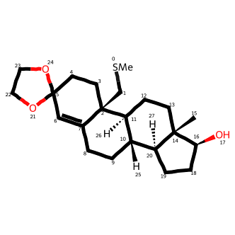 CSC[C@]12CCC3(C=C1CC[C@@H]1[C@@H]2CC[C@]2(C)[C@@H](O)CC[C@@H]12)OCCO3